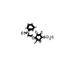 CCN(CCOc1c(F)c(F)c(S(=O)(=O)O)c(F)c1F)c1ccccc1